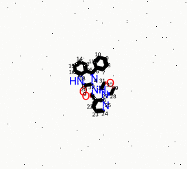 O=C(NC1N=C(c2ccccc2)c2ccccc2NC1=O)c1cccnc1N1CCOCC1